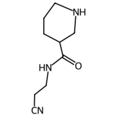 N#CCCNC(=O)C1CCCNC1